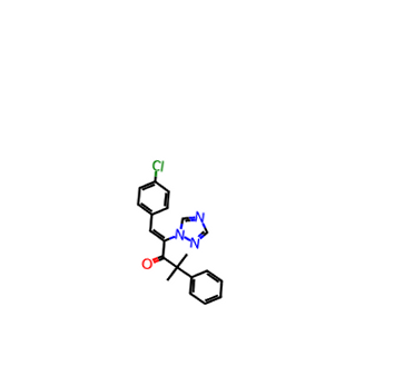 CC(C)(C(=O)/C(=C/c1ccc(Cl)cc1)n1cncn1)c1ccccc1